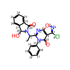 CC(c1nc2onc(Cl)c2c(=O)n1-c1ccccc1)N1C(=O)c2ccccc2C1O